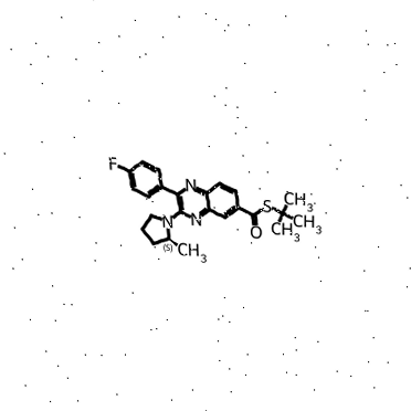 C[C@H]1CCCN1c1nc2cc(C(=O)SC(C)(C)C)ccc2nc1-c1ccc(F)cc1